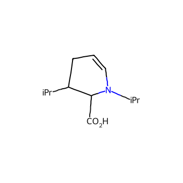 CC(C)C1CC=CN(C(C)C)C1C(=O)O